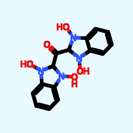 O=C(C1N(O)c2ccccc2N1O)C1N(O)c2ccccc2N1O